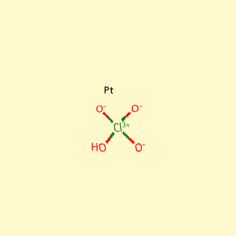 [O-][Cl+3]([O-])([O-])O.[Pt]